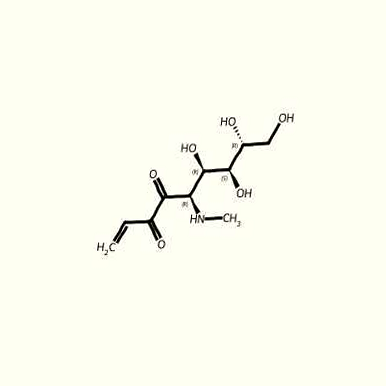 C=CC(=O)C(=O)[C@H](NC)[C@@H](O)[C@H](O)[C@H](O)CO